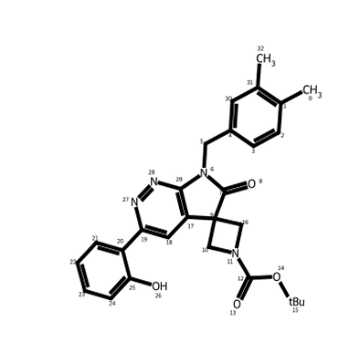 Cc1ccc(CN2C(=O)C3(CN(C(=O)OC(C)(C)C)C3)c3cc(-c4ccccc4O)nnc32)cc1C